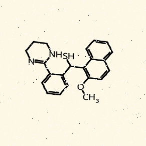 COc1ccc2ccccc2c1C(S)c1ccccc1C1=NCCCN1